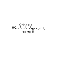 C=CCNC(=O)[C@H](O)[C@@H](O)[C@H](O)[C@H](O)CO